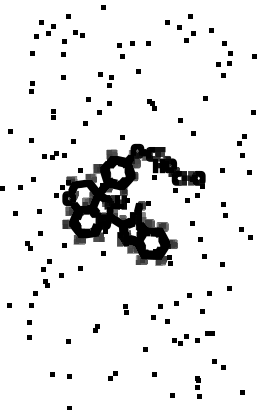 Cn1c(C(=O)NC2(c3ccc(OC(F)(F)F)cc3)CCOc3cccnc32)nc2ccccc21.O=CO